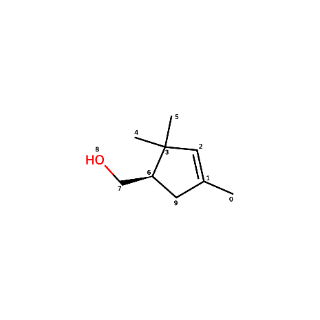 CC1=CC(C)(C)[C@H](CO)C1